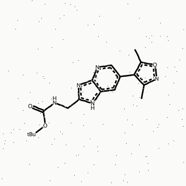 Cc1noc(C)c1-c1cnc2nc(CNC(=O)OC(C)(C)C)[nH]c2c1